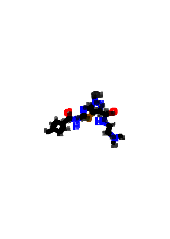 Cc1ccc(C(=O)Nc2nc3c(s2)c(C(=O)NCCN(C)C)nn3C(C)(C)C)cc1